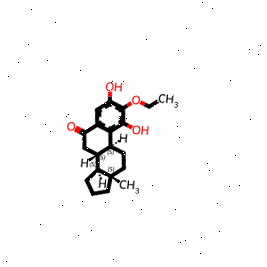 CCOc1c(O)cc2c(c1O)[C@H]1CC[C@]3(C)CCC[C@H]3[C@@H]1CC2=O